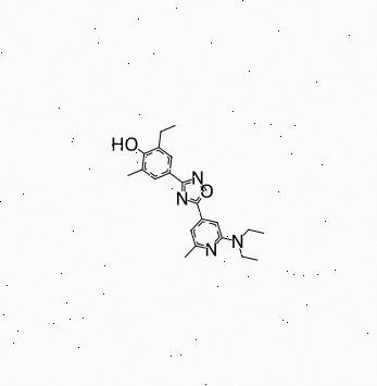 CCc1cc(-c2noc(-c3cc(C)nc(N(CC)CC)c3)n2)cc(C)c1O